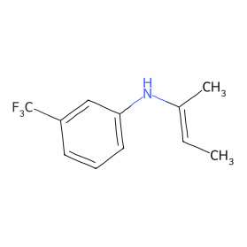 CC=C(C)Nc1cccc(C(F)(F)F)c1